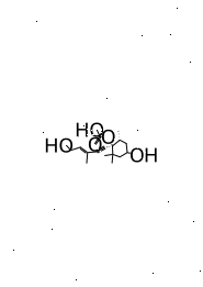 C/C(C#C[C@]1(OC(=O)O)[C@H](C)C[C@@H](O)CC1(C)C)=C\CO